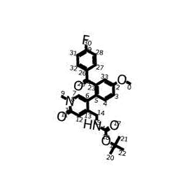 COc1ccc(-c2cn(C)c(=O)cc2CNC(=O)OC(C)(C)C)c(C(=O)c2ccc(F)cc2)c1